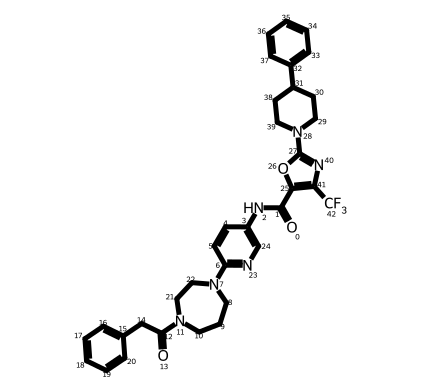 O=C(Nc1ccc(N2CCCN(C(=O)Cc3ccccc3)CC2)nc1)c1oc(N2CCC(c3ccccc3)CC2)nc1C(F)(F)F